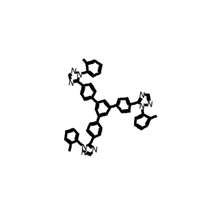 Cc1ccccc1-n1ncnc1-c1ccc(-c2cc(-c3ccc(-c4ncnn4-c4ccccc4C)cc3)cc(-c3ccc(-c4ncnn4-c4ccccc4C)cc3)c2)cc1